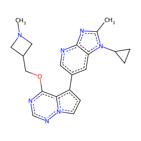 Cc1nc2ncc(-c3ccn4ncnc(OCC5CN(C)C5)c34)cc2n1C1CC1